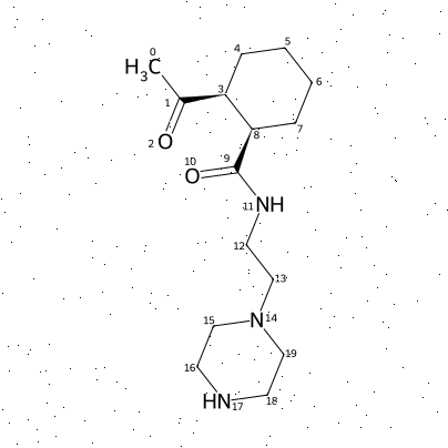 CC(=O)[C@H]1CCCC[C@H]1C(=O)NCCN1CCNCC1